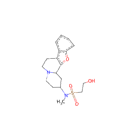 CN(C1CCN2CCc3c(oc4ccccc34)C2C1)S(=O)(=O)CCO